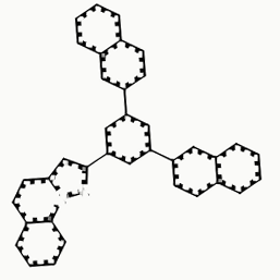 c1ccc2cc(-c3cc(-c4ccc5ccccc5c4)cc(-c4cc5ccc6ccccc6n5n4)c3)ccc2c1